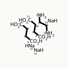 NCCN.O=C(O)CCC(=O)O.O=C(O)CCC(=O)O.[NaH].[NaH].[NaH]